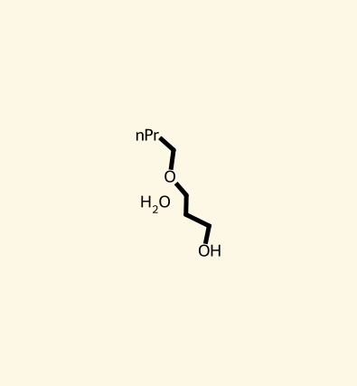 CCCCOCCCO.O